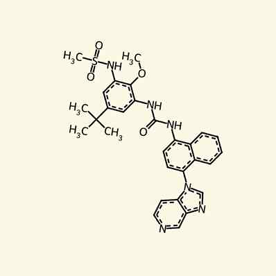 COc1c(NC(=O)Nc2ccc(-n3cnc4cnccc43)c3ccccc23)cc(C(C)(C)C)cc1NS(C)(=O)=O